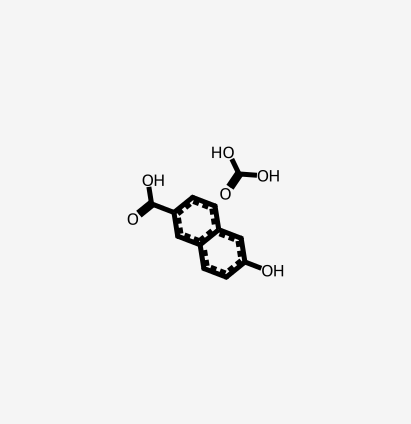 O=C(O)O.O=C(O)c1ccc2cc(O)ccc2c1